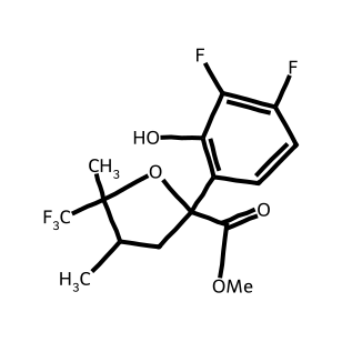 COC(=O)C1(c2ccc(F)c(F)c2O)CC(C)C(C)(C(F)(F)F)O1